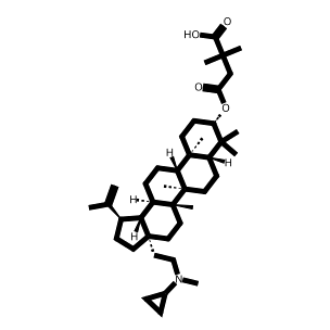 C=C(C)[C@@H]1CC[C@]2(CCN(C)C3CC3)CC[C@]3(C)[C@H](CC[C@@H]4[C@@]5(C)CC[C@H](OC(=O)CC(C)(C)C(=O)O)C(C)(C)[C@@H]5CC[C@]43C)[C@@H]12